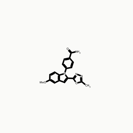 COc1ccc2c(c1)cc(-c1nnc(C)o1)n2-c1ccc(C(N)=O)cc1